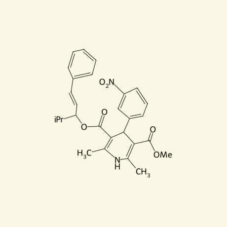 COC(=O)C1=C(C)NC(C)=C(C(=O)OC(C=Cc2ccccc2)C(C)C)C1c1cccc([N+](=O)[O-])c1